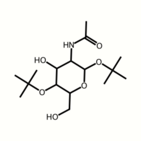 CC(=O)NC1C(OC(C)(C)C)OC(CO)C(OC(C)(C)C)C1O